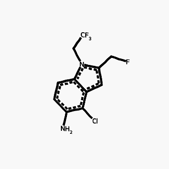 Nc1ccc2c(cc(CF)n2CC(F)(F)F)c1Cl